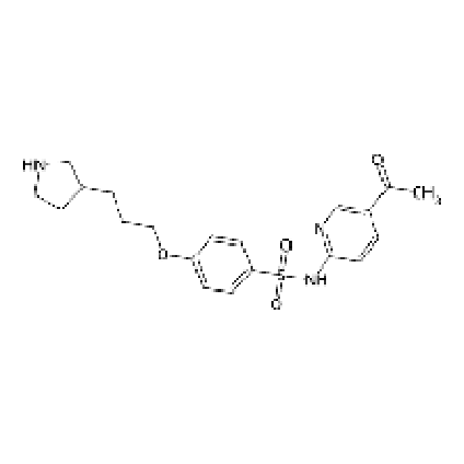 CC(=O)c1ccc(NS(=O)(=O)c2ccc(OCCCC3CCNC3)cc2)nc1